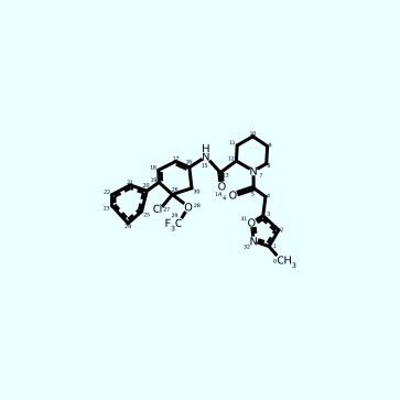 Cc1cc(CC(=O)N2CCCCC2C(=O)NC2=CC=C(c3ccccc3)C(Cl)(OC(F)(F)F)C2)on1